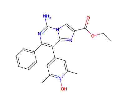 CCOC(=O)c1cn2c(N)nc(-c3ccccc3)c(-c3cc(C)[n+](O)c(C)c3)c2n1